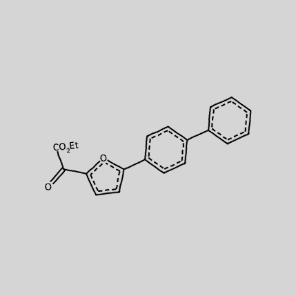 CCOC(=O)C(=O)c1ccc(-c2ccc(-c3ccccc3)cc2)o1